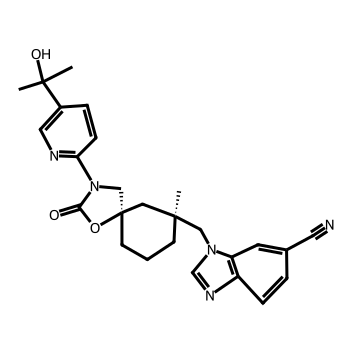 CC(C)(O)c1ccc(N2C[C@]3(CCC[C@](C)(Cn4cnc5ccc(C#N)cc54)C3)OC2=O)nc1